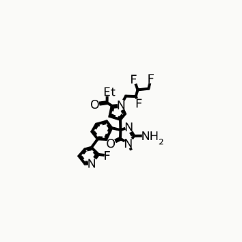 CCC(=O)c1cc(C2(c3cccc(-c4cccnc4F)c3)N=C(N)N(C)C2=O)cn1CC(F)C(F)CF